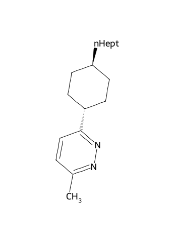 CCCCCCC[C@H]1CC[C@H](c2ccc(C)nn2)CC1